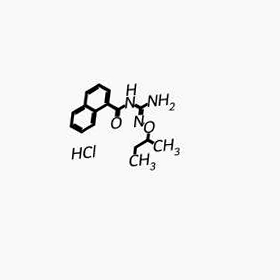 CCC(C)ON=C(N)NC(=O)c1cccc2ccccc12.Cl